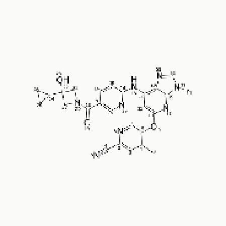 Cc1cc(C#N)ncc1Oc1cc(Nc2ccc(C(=O)N3CC(O)(C4CC4)C3)cn2)c2ncn(C)c2n1